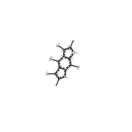 CCc1c2sc(C)c(Cl)c2c(CC)c2c(Cl)c(C)sc12